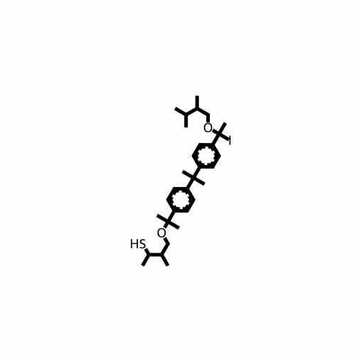 CC(C)C(C)COC(C)(I)c1ccc(C(C)(C)c2ccc(C(C)(C)OCC(C)C(C)S)cc2)cc1